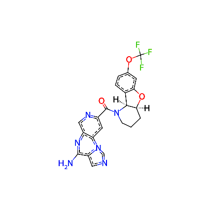 Nc1nc2cnc(C(=O)N3CCC[C@@H]4Oc5cc(OC(F)(F)F)ccc5[C@@H]43)cc2n2cncc12